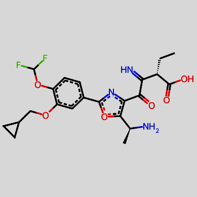 CC[C@@H](C(=N)C(=O)c1nc(-c2ccc(OC(F)F)c(OCC3CC3)c2)oc1[C@H](C)N)C(=O)O